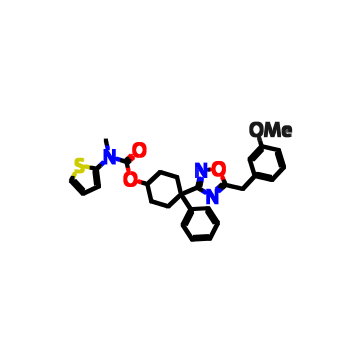 COc1cccc(Cc2nc(C3(c4ccccc4)CCC(OC(=O)N(C)c4cccs4)CC3)no2)c1